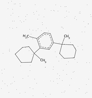 Cc1ccc(C2(C)CCCCC2)cc1C1(C)CCCCC1